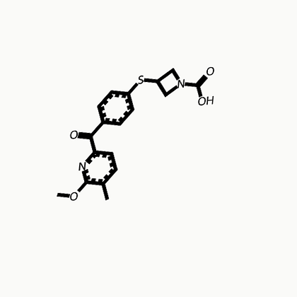 COc1nc(C(=O)c2ccc(SC3CN(C(=O)O)C3)cc2)ccc1C